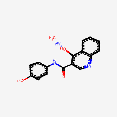 N.O.O=C(Nc1ccc(O)cc1)c1cnc2ccccc2c1O